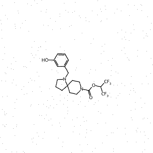 O=C(OC(C(F)(F)F)C(F)(F)F)N1CCC2(CCCN2Cc2cccc(O)c2)CC1